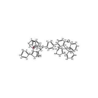 C1=CC2=C(CC1)C1=C(c3ccccc3)CNN1C1(c3ccccc3)C2C1c1ccc(-c2ccc3c(c2)C2(C4=C(CCC=C4)c4ccccc42)c2ccccc2O3)cc1